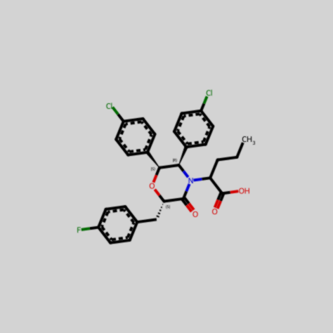 CCCC(C(=O)O)N1C(=O)[C@H](Cc2ccc(F)cc2)O[C@@H](c2ccc(Cl)cc2)[C@H]1c1ccc(Cl)cc1